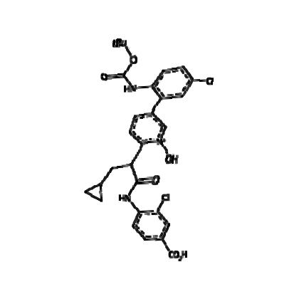 CC(C)(C)OC(=O)Nc1ccc(Cl)cc1-c1ccc(C(CC2CC2)C(=O)Nc2ccc(C(=O)O)cc2Cl)[n+](O)c1